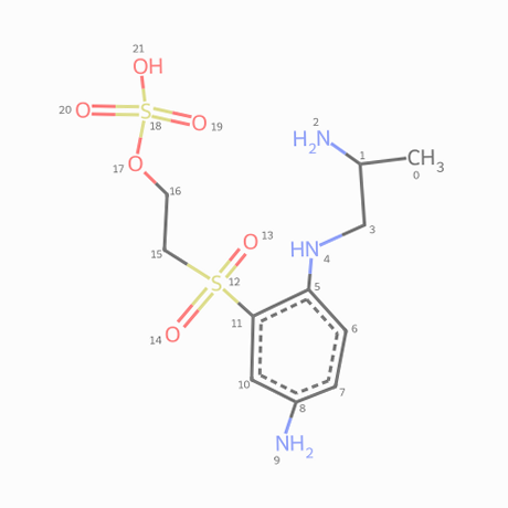 CC(N)CNc1ccc(N)cc1S(=O)(=O)CCOS(=O)(=O)O